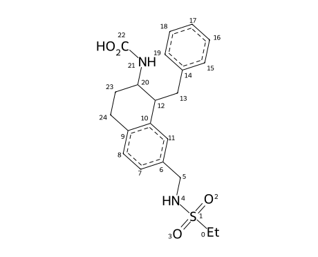 CCS(=O)(=O)NCc1ccc2c(c1)C(Cc1ccccc1)C(NC(=O)O)CC2